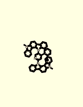 Cn1c2ccccc2c2c1ccc1c3ccccc3n(-c3cc(-c4ccccc4C#N)c(-n4c5ccccc5c5ccc6c(c7ccccc7n6C)c54)cn3)c12